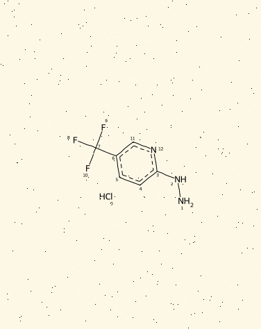 Cl.NNc1ccc(C(F)(F)F)cn1